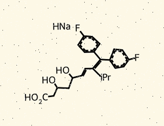 CC(C)C(/C=C/C(O)CC(O)CC(=O)O)=C(c1ccc(F)cc1)c1ccc(F)cc1.[NaH]